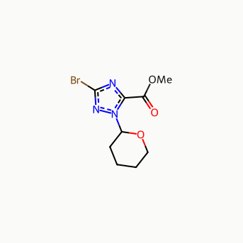 COC(=O)c1nc(Br)nn1C1CCCCO1